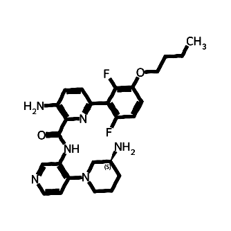 CCCCOc1ccc(F)c(-c2ccc(N)c(C(=O)Nc3cnccc3N3CCC[C@H](N)C3)n2)c1F